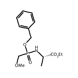 CCOC(=O)[C@H](C)NP(=O)(COC)OCc1ccccc1